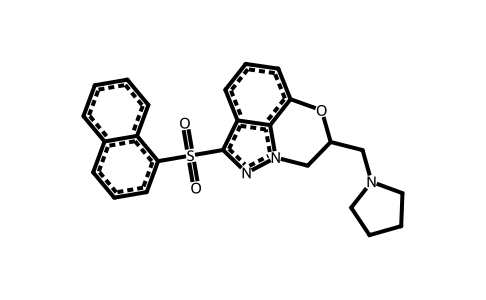 O=S(=O)(c1cccc2ccccc12)c1nn2c3c(cccc13)OC(CN1CCCC1)C2